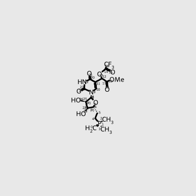 C=P(C)(C)CC[C@H]1O[C@@H](n2cc(C(OC(=O)C(F)(F)F)C(=O)OC)c(=O)[nH]c2=O)[C@H](O)[C@@H]1O